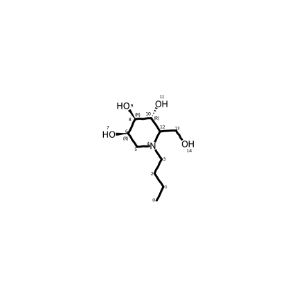 CCCCN1C[C@@H](O)[C@@H](O)[C@H](O)C1CO